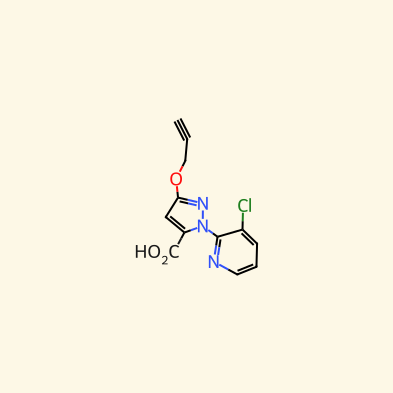 C#CCOc1cc(C(=O)O)n(-c2ncccc2Cl)n1